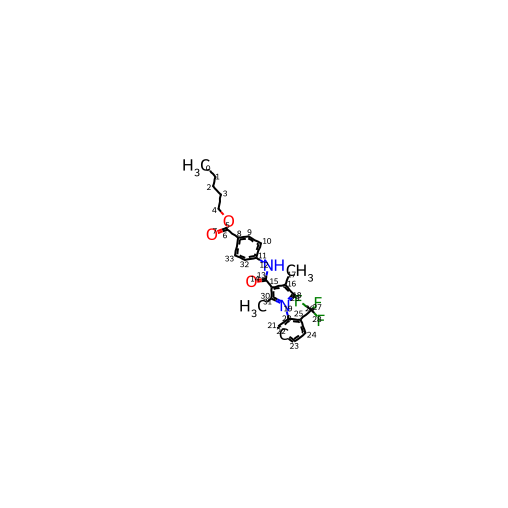 CCCCCOC(=O)c1ccc(NC(=O)c2c(C)cn(-c3ccccc3C(F)(F)F)c2C)cc1